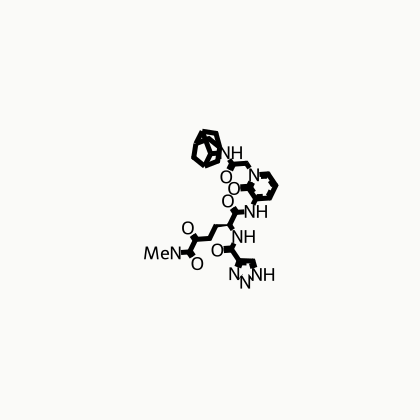 CNC(=O)C(=O)CC[C@H](NC(=O)c1c[nH]nn1)C(=O)Nc1cccn(CC(=O)NC2C3CC4CC(C3)C2C4)c1=O